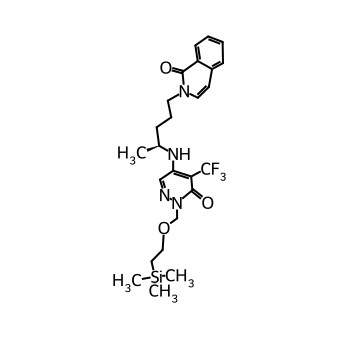 C[C@@H](CCCn1ccc2ccccc2c1=O)Nc1cnn(COCC[Si](C)(C)C)c(=O)c1C(F)(F)F